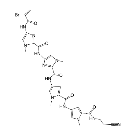 C=C(Br)C(=O)Nc1cn(C)c(C(=O)Nc2cn(C)c(C(=O)Nc3cc(C(=O)Nc4cc(C(=O)NCCC#N)n(C)c4)n(C)c3)n2)n1